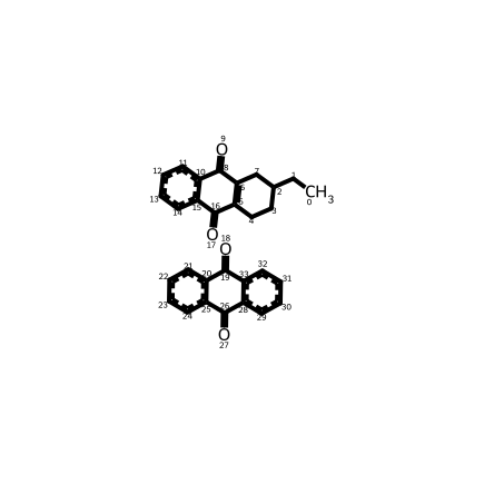 CCC1CCC2=C(C1)C(=O)c1ccccc1C2=O.O=C1c2ccccc2C(=O)c2ccccc21